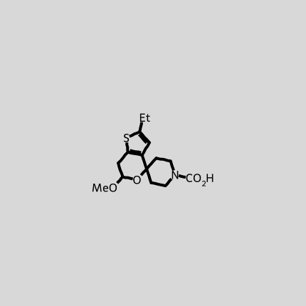 CCc1cc2c(s1)CC(OC)OC21CCN(C(=O)O)CC1